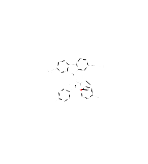 CC(C)c1ccc([C](c2ccc(C(C)C)cc2)=[Hf]([Cl])([Cl])([CH]2C=CC=C2)[CH]2c3cc(C(C)(C)C)ccc3-c3ccc(C(C)(C)C)cc32)cc1